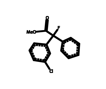 COC(=O)C(F)(c1ccccc1)c1cccc(Cl)c1